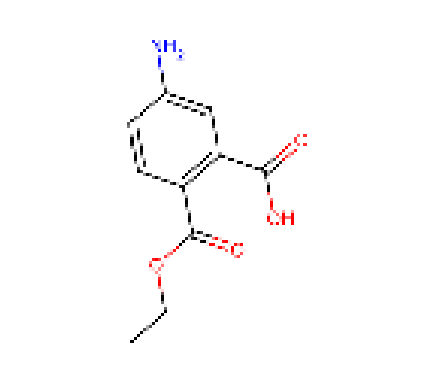 CCOC(=O)c1ccc(N)cc1C(=O)O